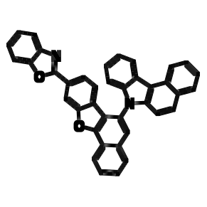 c1ccc2c(c1)cc(-n1c3ccccc3c3c4ccccc4ccc31)c1c3ccc(-c4nc5ccccc5o4)cc3oc21